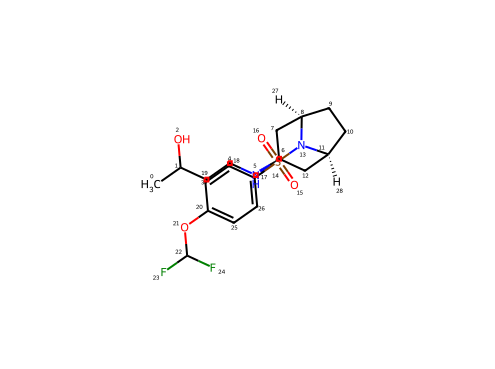 CC(O)CCN[C@H]1C[C@H]2CC[C@@H](C1)N2S(=O)(=O)c1ccc(OC(F)F)cc1